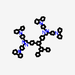 c1ccc(-c2cc(-c3ccccc3)cc(-c3cc(-c4ccc(-c5cc(-c6ccc(-n7c8ccccc8c8ccccc87)cc6)nc(-c6ccc(-n7c8ccccc8c8ccccc87)cc6)n5)cc4)cc(-c4ccc(-c5cc(-c6ccc(-n7c8ccccc8c8ccccc87)cc6)nc(-c6ccc(-n7c8ccccc8c8ccccc87)cc6)n5)cc4)c3)c2)cc1